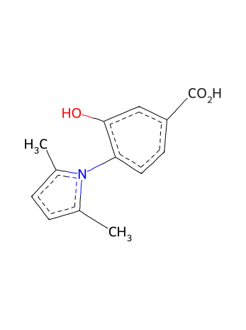 Cc1ccc(C)n1-c1ccc(C(=O)O)cc1O